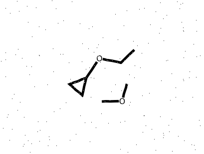 CCOC1CC1.COC